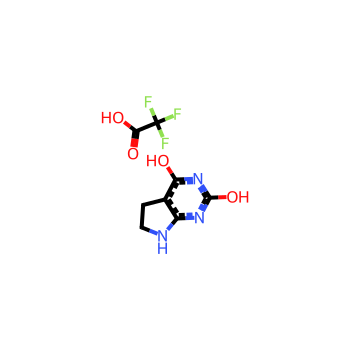 O=C(O)C(F)(F)F.Oc1nc(O)c2c(n1)NCC2